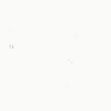 O=C1CCCC(=O)N1CCc1cnsc1